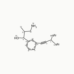 CCCC(C#Cc1cccc(C(O)C(C)CN)c1)CCC